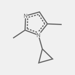 Cc1cnc(C)n1C1CC1